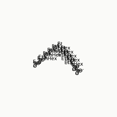 CCCCCC[S+](CC)CC.CCCCCC[S+](CC)CC.CCCCCC[S+](CC)CC.CCCCCC[S+](CC)CC.CCCCCC[S+](CC)CC.CCCCCC[S+](CC)CC.CCCCCC[S+](CC)CC.CCCCCC[S+](CC)CC.[O-]B([O-])F.[O-]B([O-])F.[O-]B([O-])F.[O-]B([O-])F